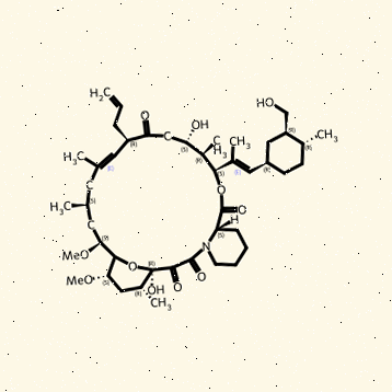 C=CC[C@@H]1/C=C(\C)C[C@H](C)C[C@H](OC)C2O[C@@](O)(C(=O)C(=O)N3CCCC[C@H]3C(=O)O[C@H](/C(C)=C/[C@@H]3CC[C@@H](C)[C@H](CO)C3)[C@H](C)[C@@H](O)CC1=O)[C@H](C)C[C@@H]2OC